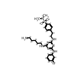 CN(C)S(=O)(=O)c1ccc(CCNc2nc(NCCCCCN)nc(Nc3cccc(F)c3)n2)cc1